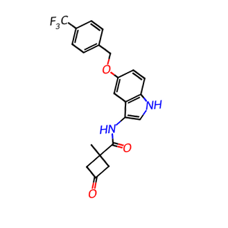 CC1(C(=O)Nc2c[nH]c3ccc(OCc4ccc(C(F)(F)F)cc4)cc23)CC(=O)C1